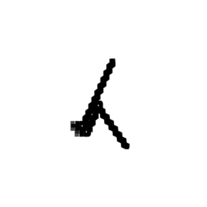 CCCCCCCCCCCCCC(CCCC=CCO)OC(CCCC=CCO)CCCCCCCCCCCCC